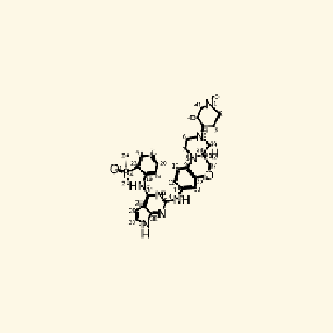 CN1CCC(N2CCN3c4ccc(Nc5nc(Nc6ccccc6P(C)(C)=O)c6cc[nH]c6n5)cc4OC[C@@H]3C2)CC1